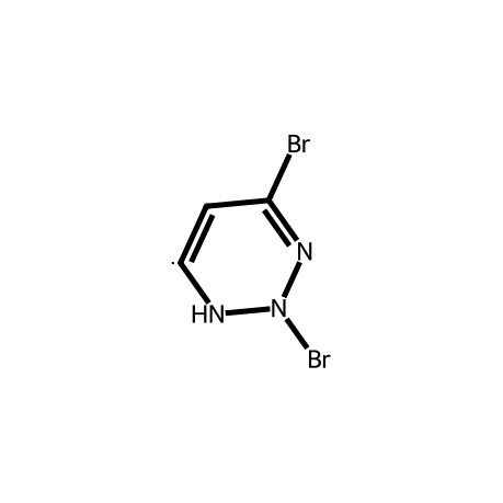 BrC1=NN(Br)N[C]=C1